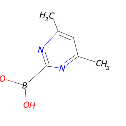 Cc1cc(C)nc(B(O)O)n1